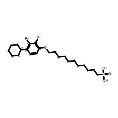 O=P(O)(O)CCCCCCCCCCCOc1ccc(C2CCCCC2)c(F)c1F